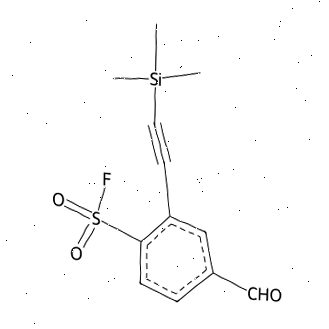 C[Si](C)(C)C#Cc1cc(C=O)ccc1S(=O)(=O)F